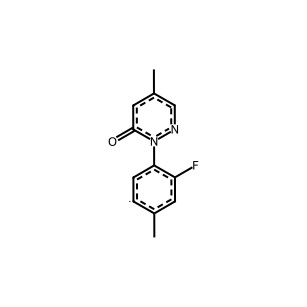 Cc1[c]cc(-n2ncc(C)cc2=O)c(F)c1